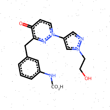 O=C(O)Nc1cccc(Cc2nn(-c3cnn(CCO)c3)ccc2=O)c1